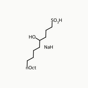 CCCCCCCCCCCCC(O)CCCS(=O)(=O)O.[NaH]